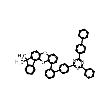 CC1(C)c2ccccc2-c2c1ccc1c2Oc2c(cccc2-c2ccccc2-c2ccc(-c3nc(-c4ccccc4)nc(-c4ccc(-c5ccccc5)cc4)n3)cc2)O1